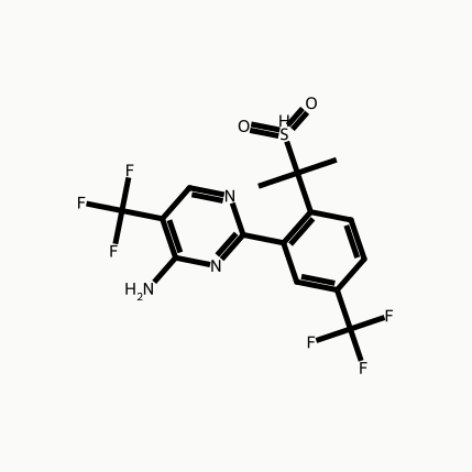 CC(C)(c1ccc(C(F)(F)F)cc1-c1ncc(C(F)(F)F)c(N)n1)[SH](=O)=O